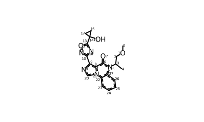 COCC(C)n1c(=O)c2c(-c3noc(C4(O)CC4)n3)ncn2c2ccccc21